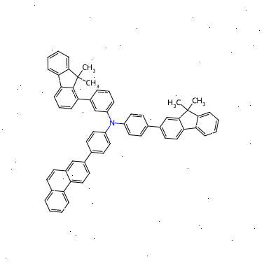 CC1(C)c2ccccc2-c2ccc(-c3ccc(N(c4ccc(-c5ccc6c(ccc7ccccc76)c5)cc4)c4cccc(-c5cccc6c5C(C)(C)c5ccccc5-6)c4)cc3)cc21